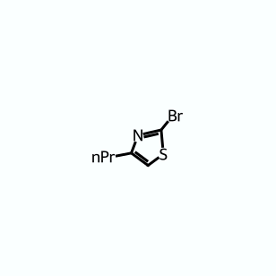 CCCc1csc(Br)n1